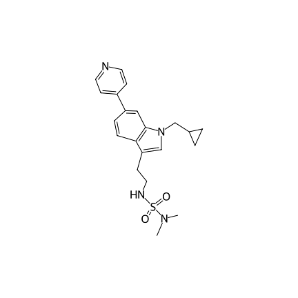 CN(C)S(=O)(=O)NCCc1cn(CC2CC2)c2cc(-c3ccncc3)ccc12